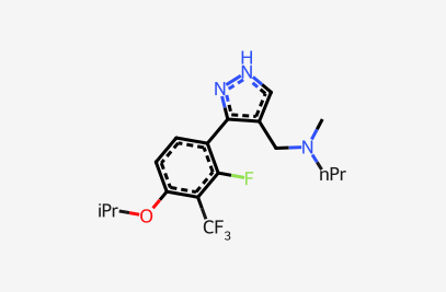 CCCN(C)Cc1c[nH]nc1-c1ccc(OC(C)C)c(C(F)(F)F)c1F